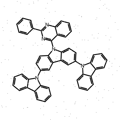 c1ccc(-c2nc(-n3c4ccc(-n5c6ccccc6c6ccccc65)cc4c4cc(-n5c6ccccc6c6ccccc65)ccc43)c3ccccc3n2)cc1